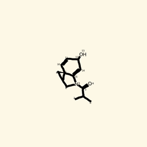 CC(C)C(=O)N1CC2C[C@]23C=CC(O)C=C13